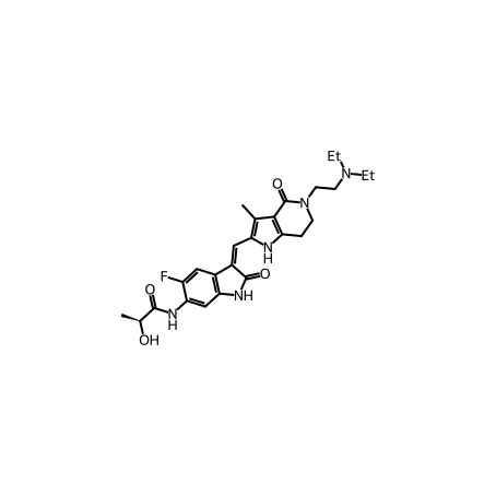 CCN(CC)CCN1CCc2[nH]c(/C=C3\C(=O)Nc4cc(NC(=O)[C@H](C)O)c(F)cc43)c(C)c2C1=O